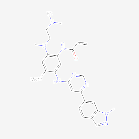 C=CC(=O)Nc1cc(Nc2cc(-c3ccc4cnn(C)c4c3)ncn2)c(OC)cc1N(C)CCN(C)CC